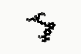 CCOP(=O)(C/C=C/COc1ccccc1-c1ccc(C(C)C(=O)O)cc1)OCC